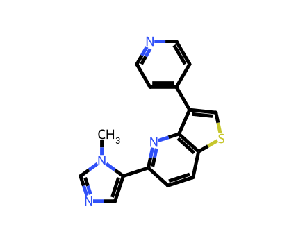 Cn1cncc1-c1ccc2scc(-c3ccncc3)c2n1